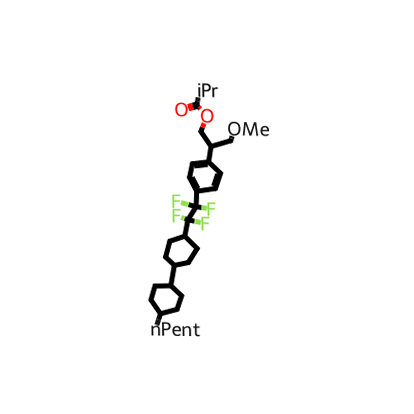 CCCCCC1CCC(C2CCC(C(F)(F)C(F)(F)c3ccc(C(COC)COC(=O)C(C)C)cc3)CC2)CC1